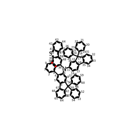 c1ccc(-c2cc3c(cc2N(c2ccc4c(c2)C(c2ccccc2)(c2ccccc2)c2ccccc2-4)c2ccc4sc5ccccc5c4c2)C(c2ccccc2)(c2ccccc2)c2ccccc2-3)cc1